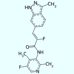 Cc1ncc(F)c(C)c1NC(=O)/C(F)=C/c1ccc2c(C)n[nH]c2c1